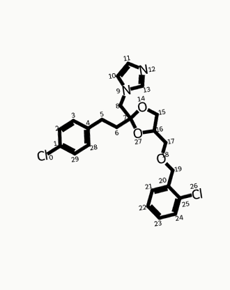 Clc1ccc(CCC2(Cn3ccnc3)OCC(COCc3ccccc3Cl)O2)cc1